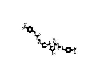 CC(=NC(=O)OCc1ccc([N+](=O)[O-])cc1)N1C[C@@H](S)C[C@H]1C(=O)N1CC[C@H](NC=NC(=O)OCc2ccc([N+](=O)[O-])cc2)C1